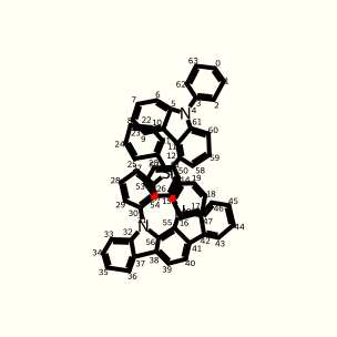 c1ccc(-n2c3ccccc3c3c([Si](c4ccccc4)(c4ccccc4)c4cccc(-n5c6ccccc6c6ccc7c8ccccc8n(-c8ccccc8)c7c65)c4)cccc32)cc1